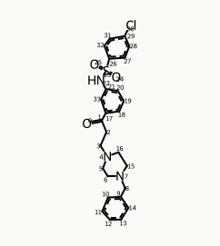 O=C(CCN1CCN(Cc2ccccc2)CC1)c1cccc(NS(=O)(=O)c2ccc(Cl)cc2)c1